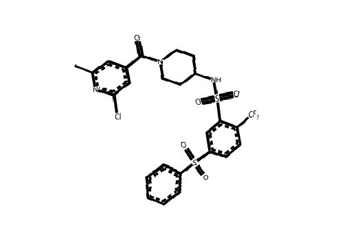 Cc1cc(C(=O)N2CCC(NS(=O)(=O)c3cc(S(=O)(=O)c4ccccc4)ccc3C(F)(F)F)CC2)cc(Cl)n1